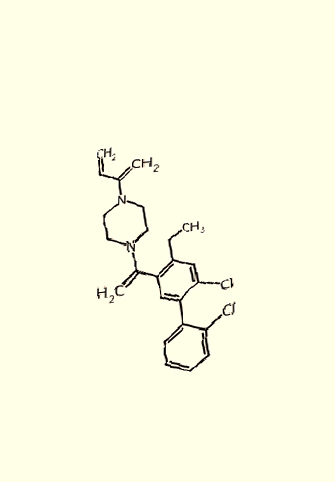 C=CC(=C)N1CCN(C(=C)c2cc(-c3ccccc3Cl)c(Cl)cc2CC)CC1